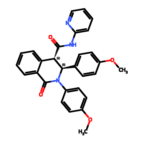 COc1ccc([C@@H]2[C@@H](C(=O)Nc3ccccn3)c3ccccc3C(=O)N2c2ccc(OC)cc2)cc1